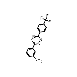 Nc1cccc(-c2nnc(-c3ccc(C(F)(F)F)cc3)nn2)c1